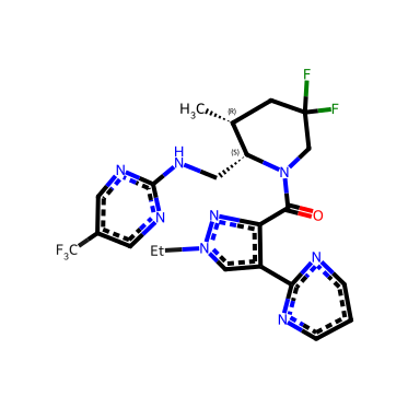 CCn1cc(-c2ncccn2)c(C(=O)N2CC(F)(F)C[C@@H](C)[C@H]2CNc2ncc(C(F)(F)F)cn2)n1